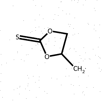 [CH2]C1COC(=S)O1